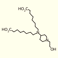 O=C(O)CCCCCCCN(CCCCCCCC(=O)O)C1CCN(CCO)CC1